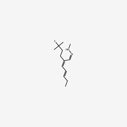 CC/C=C/C=C(\C=N/NC)CCC(C)(C)F